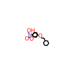 O=c1oc2cc(OCCC3CCCCC3)ccc2n1CO